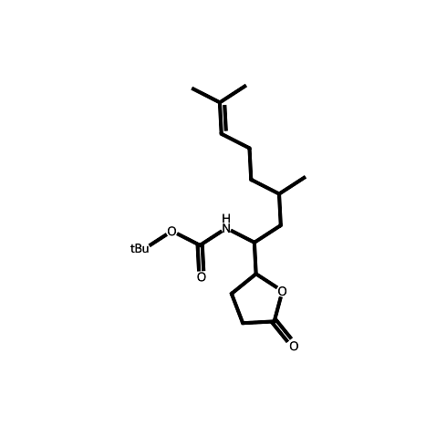 CC(C)=CCCC(C)CC(NC(=O)OC(C)(C)C)C1CCC(=O)O1